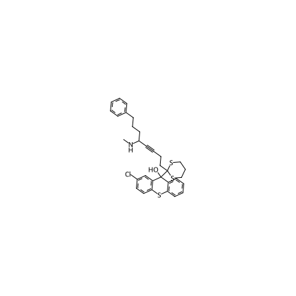 CNC(C#CCCC1(C2(O)c3ccccc3Sc3ccc(Cl)cc32)SCCCS1)CCCc1ccccc1